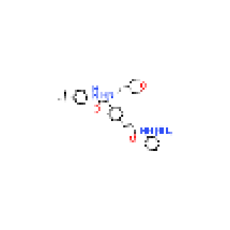 CC(C)(C)c1ccc(NC(=O)C(NCCC2CCOCC2)c2ccc(/C=C/C(=O)Nc3ccccc3N)cc2)cc1